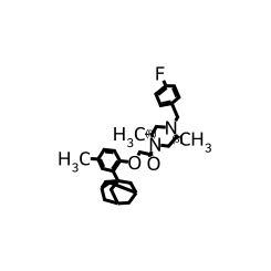 Cc1ccc(OCC(=O)N2C[C@H](C)N(Cc3ccc(F)cc3)C[C@H]2C)c(C23CC4CC(CC(C4)C2)C3)c1